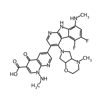 CNc1cc(F)c(F)c2c1[nH]c1ncc(-c3cnc4c(c3)c(=O)c(C(=O)O)cn4NC)c(N3CC4OCCN(C)C4C3)c12